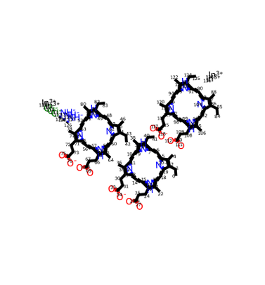 CCC1=C(C)c2cc3[nH]c(cc4nc(cc5[nH]c(cc1n2)c(C)c5CCC(=O)[O-])C(CCC(=O)[O-])=C4C)c(C)c3CC.CCC1=C(C)c2cc3[nH]c(cc4nc(cc5[nH]c(cc1n2)c(C)c5CCC(=O)[O-])C(CCC(=O)[O-])=C4C)c(C)c3CC.CCC1=C(C)c2cc3[nH]c(cc4nc(cc5[nH]c(cc1n2)c(C)c5CCC(=O)[O-])C(CCC(=O)[O-])=C4C)c(C)c3CC.C[NH-].C[NH-].C[NH-].[Cl-].[Cl-].[Cl-].[In+3].[In+3].[In+3].[In+3]